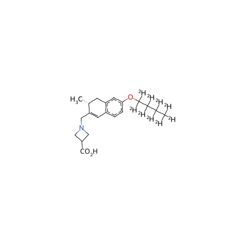 [2H]C([2H])([2H])C([2H])([2H])C([2H])([2H])C([2H])([2H])Oc1ccc2c(c1)C[C@@H](C)C(CN1CC(C(=O)O)C1)=C2